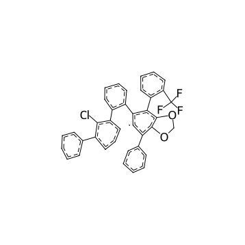 FC(F)(F)c1ccccc1-c1c(-c2ccccc2-c2cccc(-c3ccccc3)c2Cl)[c]c(-c2ccccc2)c2c1OCO2